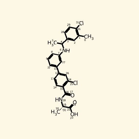 Cc1cc(C(C)Nc2cccc(-c3ccc(C(=O)N[C@@H](C)C(=O)O)c(Cl)c3)c2)ccc1Cl